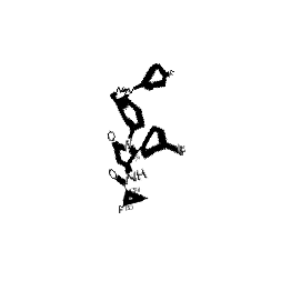 O=C(NC1CC(=O)N(c2ccc3c(cnn3-c3ccc(F)cc3)c2)[C@H]1c1ccc(F)cc1)[C@@H]1C[C@@H]1F